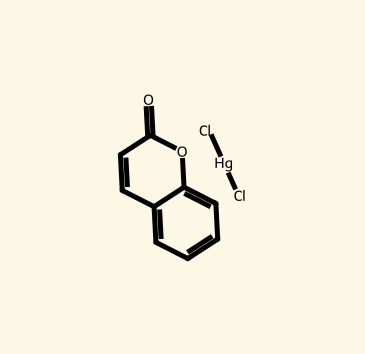 O=c1ccc2ccccc2o1.[Cl][Hg][Cl]